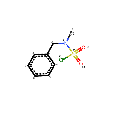 CCN(Cc1ccccc1)S(=O)(=O)Cl